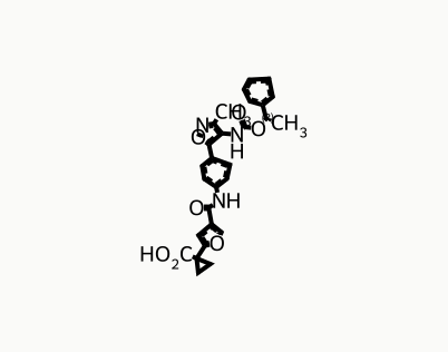 Cc1noc(-c2ccc(NC(=O)c3coc(C4(C(=O)O)CC4)c3)cc2)c1NC(=O)O[C@H](C)c1ccccc1